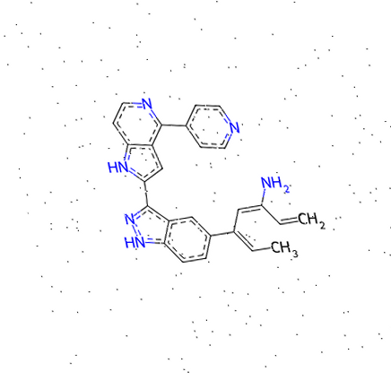 C=C/C(N)=C\C(=C/C)c1ccc2[nH]nc(-c3cc4c(-c5ccncc5)nccc4[nH]3)c2c1